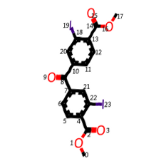 COC(=O)c1ccc(C(=O)c2ccc(C(=O)OC)c(I)c2)cc1I